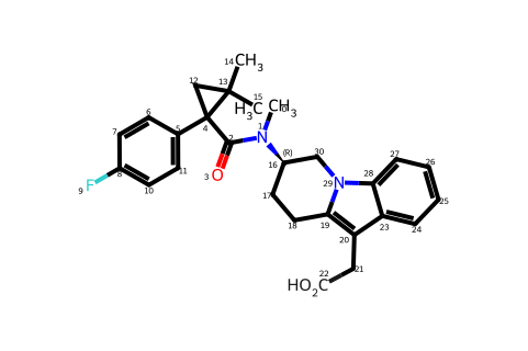 CN(C(=O)C1(c2ccc(F)cc2)CC1(C)C)[C@@H]1CCc2c(CC(=O)O)c3ccccc3n2C1